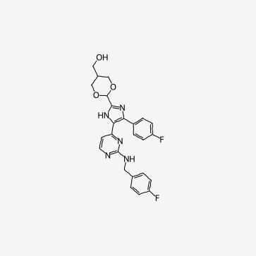 OCC1COC(c2nc(-c3ccc(F)cc3)c(-c3ccnc(NCc4ccc(F)cc4)n3)[nH]2)OC1